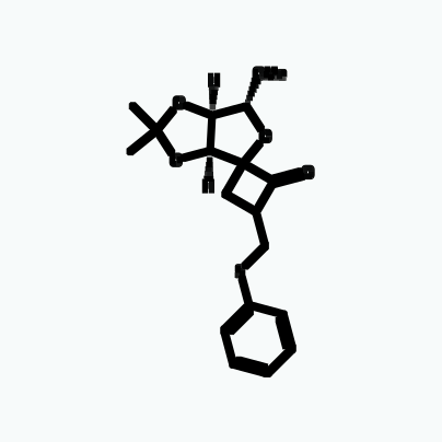 CO[C@@H]1OC2(CC(CSc3ccccc3)C2=O)[C@H]2OC(C)(C)O[C@@H]12